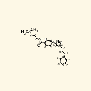 CN(C)CCCNC(=O)c1ccc(-c2nnc(CCCc3ccccc3)o2)cc1